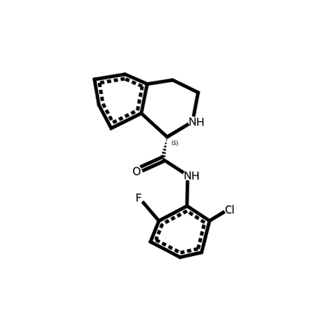 O=C(Nc1c(F)cccc1Cl)[C@H]1NCCc2ccccc21